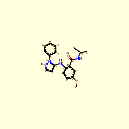 CSc1ccc(Nc2ccnn2-c2ccccc2)c(C(=O)NC(C)C)c1